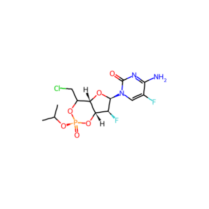 CC(C)O[P@@]1(=O)OC(CCl)[C@@H]2O[C@@H](n3cc(F)c(N)nc3=O)[C@@H](F)[C@@H]2O1